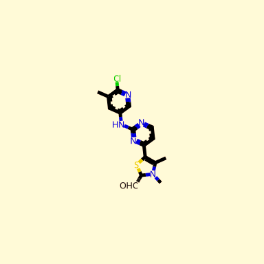 CC1=C(c2ccnc(Nc3cnc(Cl)c(C)c3)n2)SC(C=O)N1C